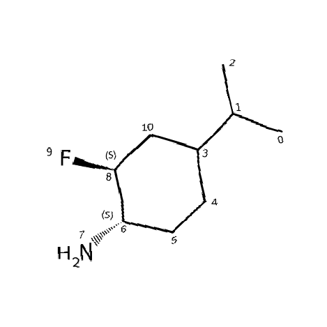 CC(C)C1CC[C@H](N)[C@@H](F)C1